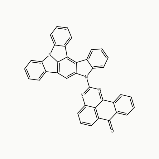 O=C1c2ccccc2-c2nc(-n3c4ccccc4c4c5c6ccccc6n6c7ccccc7c(cc43)c56)nc3cccc1c23